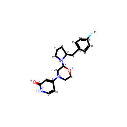 O=c1cc(N2CCOC(N3CCCC3Cc3ccc(F)cc3)C2)cc[nH]1